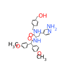 COc1ccc(C(C(=O)NC(CCc2ccnc(N)c2)C(=O)NCc2ccc(CO)cc2)c2ccc(OC)cc2)cc1